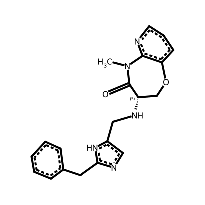 CN1C(=O)[C@@H](NCc2cnc(Cc3ccccc3)[nH]2)COc2cccnc21